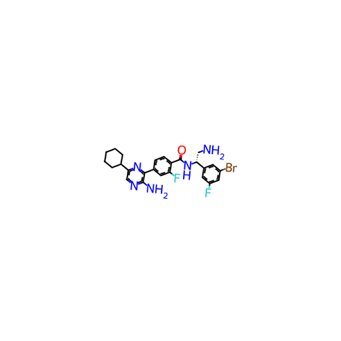 NC[C@@H](NC(=O)c1ccc(-c2nc(C3CCCCC3)cnc2N)cc1F)c1cc(F)cc(Br)c1